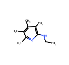 CCNc1nc(C)c(C)c(C)c1C